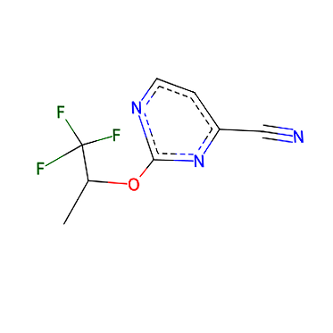 CC(Oc1nccc(C#N)n1)C(F)(F)F